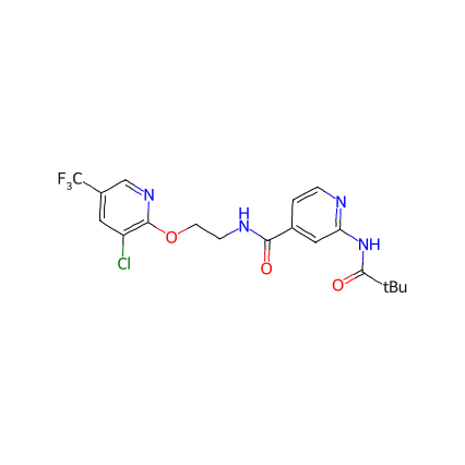 CC(C)(C)C(=O)Nc1cc(C(=O)NCCOc2ncc(C(F)(F)F)cc2Cl)ccn1